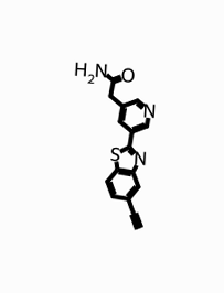 C#Cc1ccc2sc(-c3cncc(CC(N)=O)c3)nc2c1